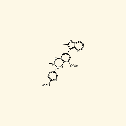 COc1ccc([C@H]2Oc3c(OC)cc(-n4c(C)nc5cccnc54)cc3O[C@@H]2C)cn1